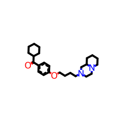 O=C(c1ccc(OCCCCN2CCN3CCCCC3C2)cc1)C1CCCCC1